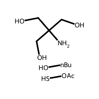 CC(=O)OS.CCCCO.NC(CO)(CO)CO